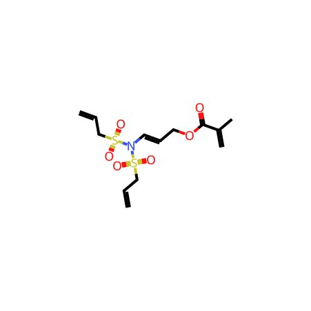 C=CCS(=O)(=O)N(C=CCOC(=O)C(=C)C)S(=O)(=O)CC=C